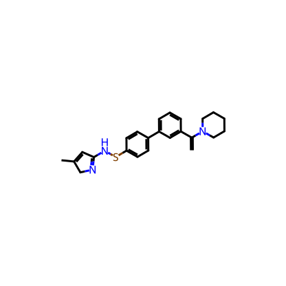 C=C(c1cccc(-c2ccc(SNC3=NCC(C)=C3)cc2)c1)N1CCCCC1